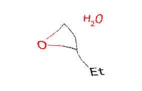 CCC1CO1.O